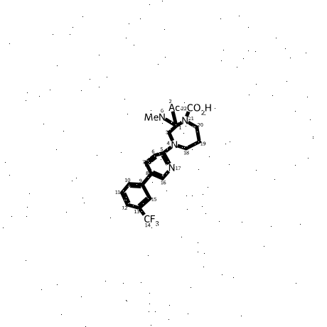 CNC1(C(C)=O)CN(c2ccc(-c3cccc(C(F)(F)F)c3)cn2)CCCN1C(=O)O